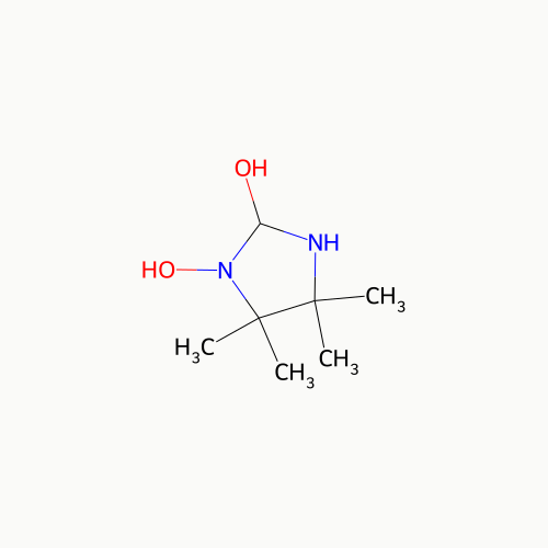 CC1(C)NC(O)N(O)C1(C)C